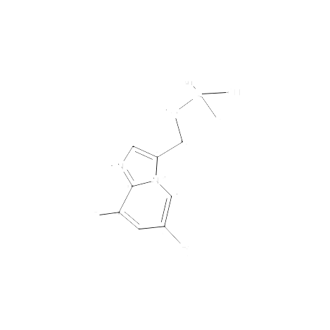 CC(C)(C)[Si](C)(C)OCc1cnc2c(F)cc(Br)cn12